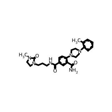 Cc1ccccc1N1CCN(c2ccc(C(=O)NCCCN3CCN(C)C3=O)cc2C(N)=O)CC1